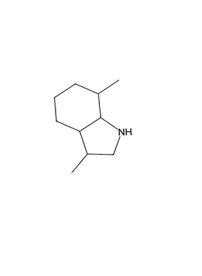 CC1CNC2C(C)CCCC12